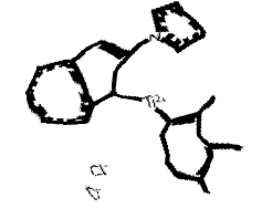 CC1=C(C)C(C)=[C]([Ti+2][CH]2C(n3cccc3)=Cc3ccccc32)C1.[Cl-].[Cl-]